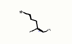 C/C=C(/F)CCCCCC